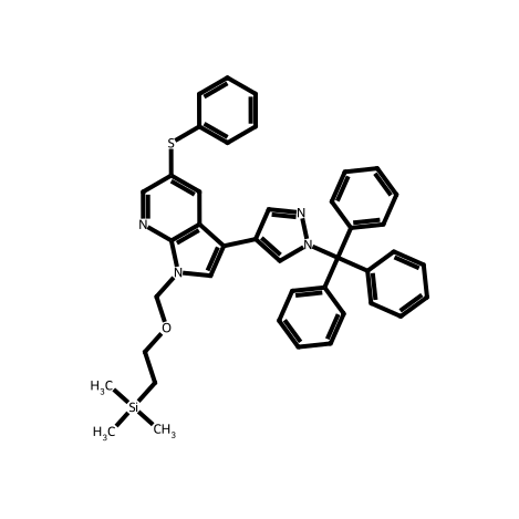 C[Si](C)(C)CCOCn1cc(-c2cnn(C(c3ccccc3)(c3ccccc3)c3ccccc3)c2)c2cc(Sc3ccccc3)cnc21